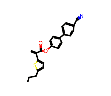 C=C(C(=O)Oc1ccc(-c2ccc(C#N)cc2)cc1)c1ccc(CCC)s1